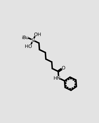 CCC(C)[Si](O)(O)CCCCCCC(=O)Nc1ccccc1